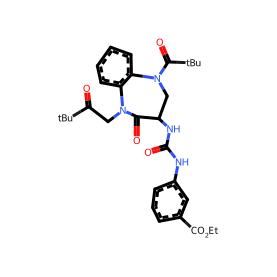 CCOC(=O)c1cccc(NC(=O)NC2CN(C(=O)C(C)(C)C)c3ccccc3N(CC(=O)C(C)(C)C)C2=O)c1